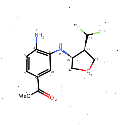 COC(=O)c1ccc(N)c(N[C@@H]2COC[C@@H]2C(F)F)c1